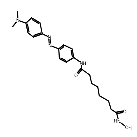 CN(C)c1ccc(N=Nc2ccc(NC(=O)CCCCCCC(=O)NO)cc2)cc1